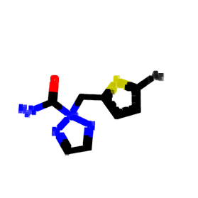 CC(=O)c1ccc(C[N+]2(C(N)=O)N=[C]C=N2)s1